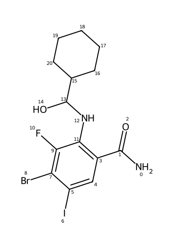 NC(=O)c1cc(I)c(Br)c(F)c1NC(O)C1CCCCC1